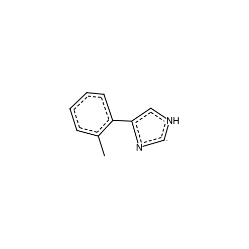 Cc1ccccc1-c1c[nH][c]n1